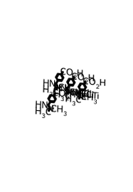 CN(C)C(=N)c1ccc(C(=O)O)cc1.CN(C)C(=N)c1ccc(C(=O)O)cc1.CN(C)C(=N)c1ccc(C(=O)O)cc1.CN(C)C(=N)c1ccc(C(=O)O)cc1.Cl.Cl.Cl.[Ti]